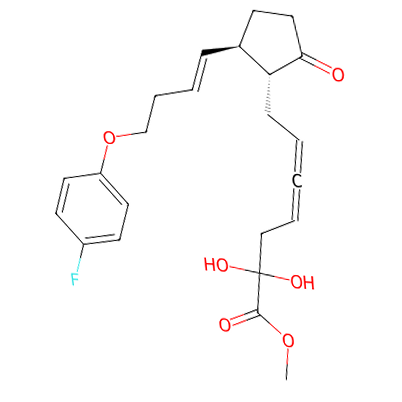 COC(=O)C(O)(O)CC=C=CC[C@H]1C(=O)CC[C@@H]1/C=C/CCOc1ccc(F)cc1